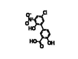 O=C(O)c1cc(-c2cc(Cl)cc([N+](=O)[O-])c2O)ccc1O